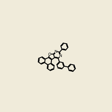 c1ccc(-c2cccc(-c3nc(-c4ccccc4)nc4oc5c6ccccc6c6ccccc6c5c34)c2)cc1